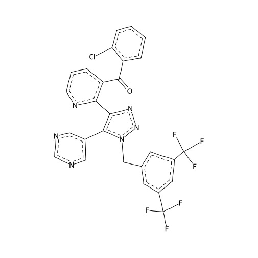 O=C(c1ccccc1Cl)c1cccnc1-c1nnn(Cc2cc(C(F)(F)F)cc(C(F)(F)F)c2)c1-c1cncnc1